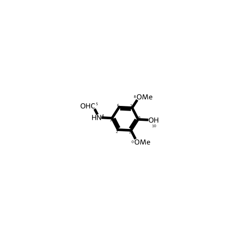 COc1cc(NC=O)cc(OC)c1O